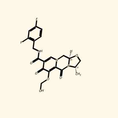 C[C@H]1CO[C@@H]2Cn3cc(C(=O)NCc4ccc(F)cc4F)c(=O)c(OCO)c3C(=O)N12